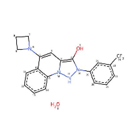 O.OC1=C2C=C(N3CCC3)c3ccccc3N2NN1c1cccc(C(F)(F)F)c1